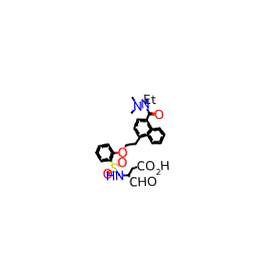 CCN(C(=O)c1ccc(CCOc2ccccc2S(=O)(=O)NC(C=O)CC(=O)O)c2ccccc12)N(C)C